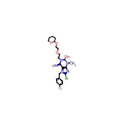 CN1c2nc(Br)n(Cc3ccc(Cl)cc3)c2C(=N)N(CCOCCOC2CCCCO2)C1O